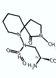 CN1CCC2(CCCCN2N(C[C@H](N)C(=O)O)[SH](=O)=O)C1=O